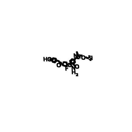 Cc1nc(-c2ccc(O[C@@H]3CCN(C(=O)Cc4ccc(O)cc4)C[C@@H]3F)c(C(N)=O)c2)cn1COCC[Si](C)(C)C